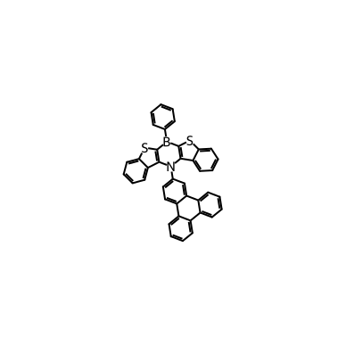 c1ccc(B2c3sc4ccccc4c3N(c3ccc4c5ccccc5c5ccccc5c4c3)c3c2sc2ccccc32)cc1